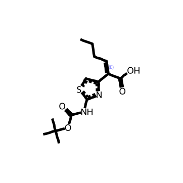 CCC/C=C(/C(=O)O)c1csc(NC(=O)OC(C)(C)C)n1